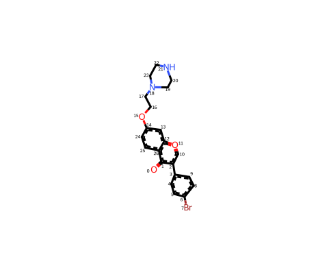 O=c1c(-c2ccc(Br)cc2)coc2cc(OCCN3CCNCC3)ccc12